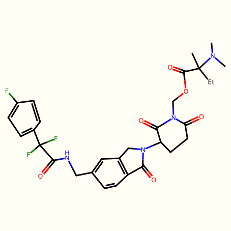 CCC(C)(C(=O)OCN1C(=O)CCC(N2Cc3cc(CNC(=O)C(F)(F)c4ccc(F)cc4)ccc3C2=O)C1=O)N(C)C